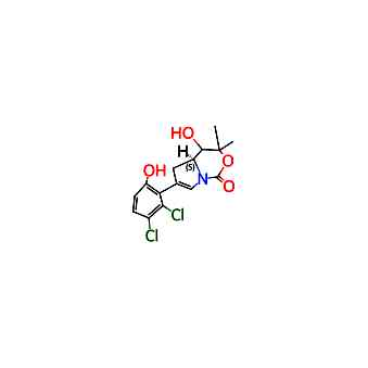 CC1(C)OC(=O)N2C=C(c3c(O)ccc(Cl)c3Cl)C[C@H]2C1O